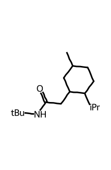 CC1CCC(C(C)C)C(CC(=O)NC(C)(C)C)C1